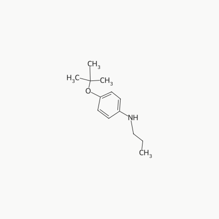 CCCNc1ccc(OC(C)(C)C)cc1